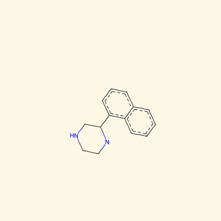 c1ccc2c(C3CNCC[N]3)cccc2c1